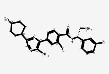 NC[C@@H](NC(=O)c1ccc(-c2nc(C3CCC(O)CC3)cnc2N)cc1F)c1cccc(Cl)c1